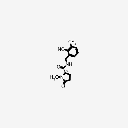 CN1C(=O)CC[C@H]1C(=O)NCc1cccc(C(F)(F)F)c1C#N